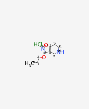 CCCOc1noc2c1CNCC2.Cl